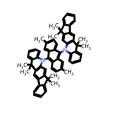 Cc1ccc2c(N3c4ccccc4C(C)(C)c4cc5c(cc43)C(C)(C)c3ccccc3-5)c3cc(C)ccc3c(N3c4ccccc4C(C)(C)c4cc5c(cc43)C(C)(C)c3ccccc3-5)c2c1